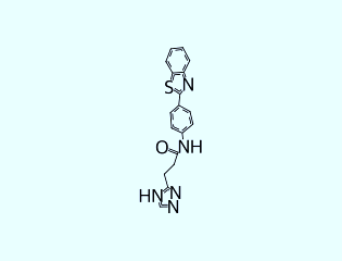 O=C(CCc1nnc[nH]1)Nc1ccc(-c2nc3ccccc3s2)cc1